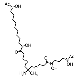 CC(=O)N(O)CCCCCCCCCN(O)C(=O)CCOCC(C)(N)COCCC(=O)N(O)CCCN(O)C(C)=O